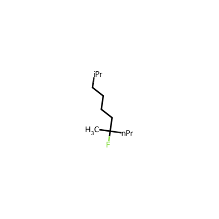 CCCC(C)(F)CCCCC(C)C